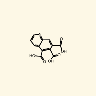 O=C(O)c1cc2ncccc2c(C(=O)O)c1C(=O)O